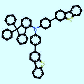 c1ccc(C2(c3ccccc3)c3ccccc3-c3c(N(c4ccc(-c5ccc6c(c5)sc5ccccc56)cc4)c4ccc(-c5ccc6c(c5)sc5ccccc56)cc4)cccc32)cc1